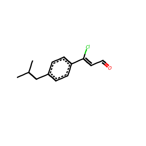 CC(C)Cc1ccc(C(Cl)=CC=O)cc1